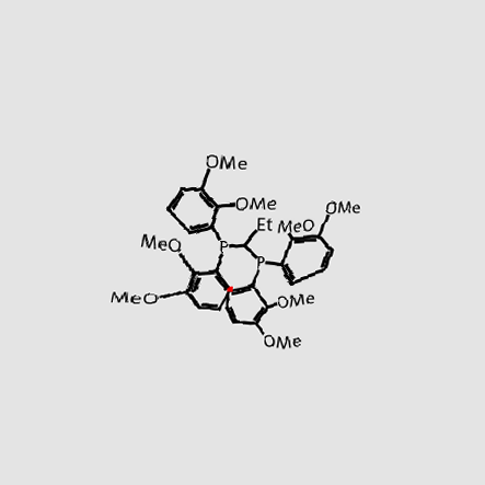 CCC(P(c1cccc(OC)c1OC)c1cccc(OC)c1OC)P(c1cccc(OC)c1OC)c1cccc(OC)c1OC